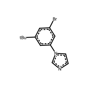 CC(C)(C)c1cc(Br)cc(-n2ccnc2)c1